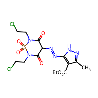 CCOC(=O)c1c(C)n[nH]c1N=NC1C(=O)N(CCCl)S(=O)(=O)N(CCCl)C1=O